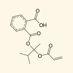 C=CC(=O)OC(C)(OC(=O)c1ccccc1C(=O)O)C(C)C